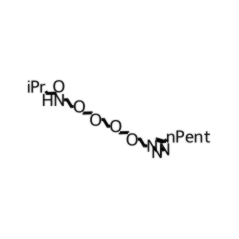 CCCCCc1cn(CCOCCOCCOCCOCCNC(=O)CC(C)C)nn1